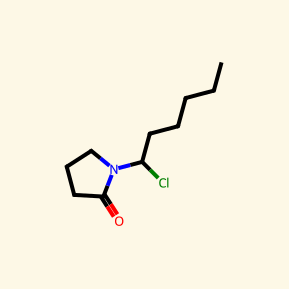 CCCCCC(Cl)N1CCCC1=O